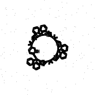 CC1(C)C2=CC=C(NC2)C(c2ccccc2)(c2ccccc2)c2ccc([nH]2)C(C)(C)c2ccc([nH]2)C(c2ccccc2)(c2ccccc2)c2ccc([nH]2)C(C)(C)c2ccc([nH]2)C(c2ccccc2)(c2ccccc2)c2ccc1[nH]2